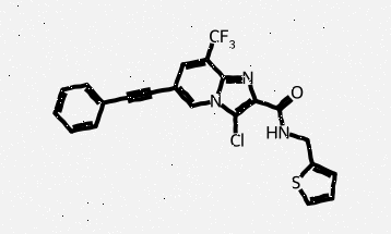 O=C(NCc1cccs1)c1nc2c(C(F)(F)F)cc(C#Cc3ccccc3)cn2c1Cl